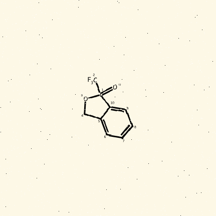 O=I1(C(F)(F)F)OCc2ccccc21